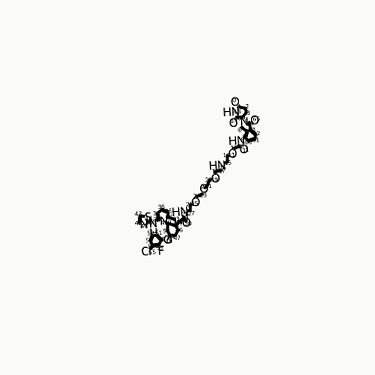 O=C1CCC(N2Cc3c(NC(=O)COCCNCCOCCOCCOCCN[C@@H]4OC4[C@]4(Cc5cccc(Nc6nccs6)n5)CC[C@@H](Oc5cccc(Cl)c5F)CC4)cccc3C2=O)C(=O)N1